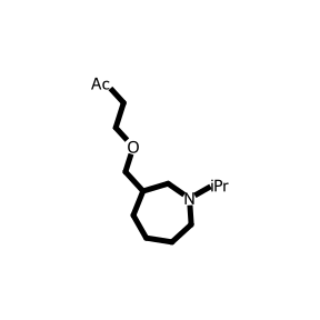 CC(=O)CCOCC1CCCCN(C(C)C)C1